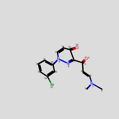 CN(C)C=CC(=O)c1nn(-c2cccc(Br)c2)ccc1=O